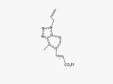 C=CCn1nnc2c(C)c(/C=C/C(=O)OCC)ccc21